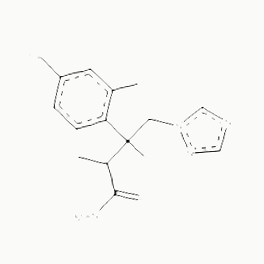 CNC(=O)C(C)C(O)(Cn1cncn1)c1ccc(Cl)cc1Cl